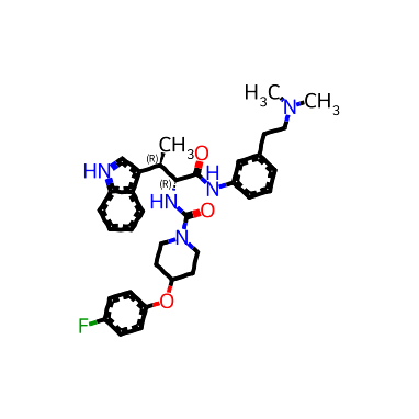 C[C@H](c1c[nH]c2ccccc12)[C@@H](NC(=O)N1CCC(Oc2ccc(F)cc2)CC1)C(=O)Nc1cccc(CCN(C)C)c1